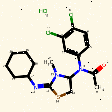 CC(=O)N(c1ccc(Cl)c(Cl)c1)C1CSC(=NC2CCCCC2)N1C.Cl